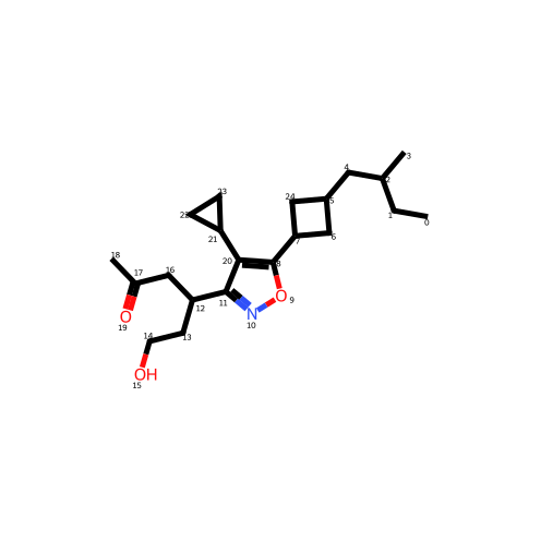 CCC(C)CC1CC(c2onc(C(CCO)CC(C)=O)c2C2CC2)C1